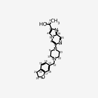 CC(O)c1cn2cc(N3CCN(Cc4ccc5c(c4)OCC5)CC3)ncc2n1